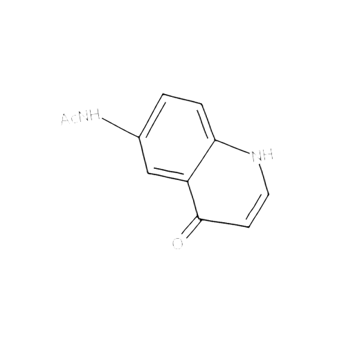 CC(=O)Nc1ccc2[nH]ccc(=O)c2c1